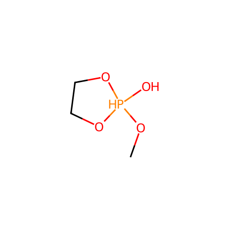 CO[PH]1(O)OCCO1